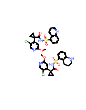 COc1cc(C2(C(=O)NS(=O)(=O)c3cccc4c3CCCN4)CC2)c(Cl)cn1.COc1cc(C2(C(=O)NS(=O)(=O)c3cccc4ncccc34)CC2)c(Cl)cn1